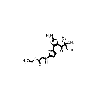 CCOC(=O)CNc1ccc(-c2nc(N)sc2C(=O)C(C)(C)C)o1